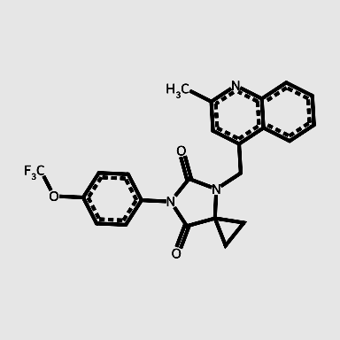 Cc1cc(CN2C(=O)N(c3ccc(OC(F)(F)F)cc3)C(=O)C23CC3)c2ccccc2n1